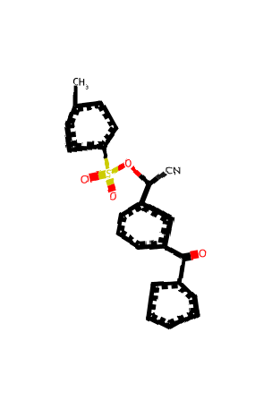 Cc1ccc(S(=O)(=O)OC(C#N)c2cccc(C(=O)c3ccccc3)c2)cc1